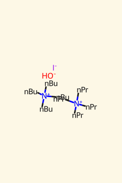 CCCC[N+](CCCC)(CCCC)CCCC.CCC[N+](CCC)(CCC)CCC.[I-].[OH-]